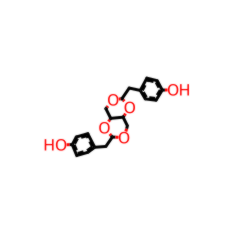 Oc1ccc(CC2OCC3OC(Cc4ccc(O)cc4)OCC3O2)cc1